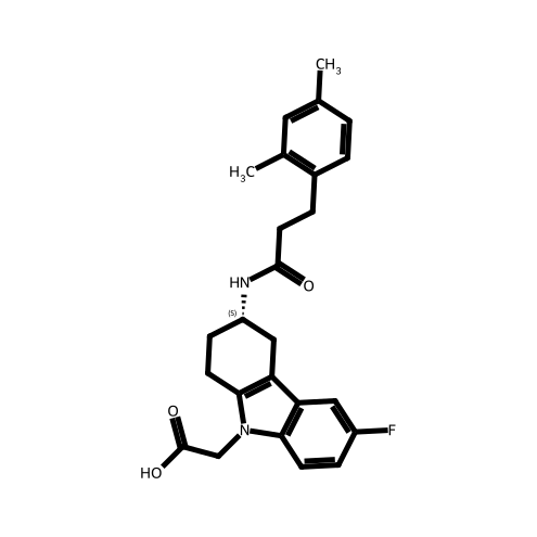 Cc1ccc(CCC(=O)N[C@H]2CCc3c(c4cc(F)ccc4n3CC(=O)O)C2)c(C)c1